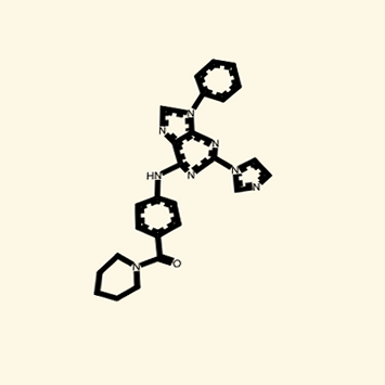 O=C(c1ccc(Nc2nc(-n3ccnc3)nc3c2ncn3-c2ccccc2)cc1)N1CCCCC1